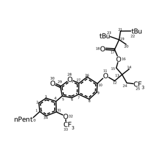 CCCCCc1ccc(-c2cc3ccc(OCC(C)(COC(=O)C(C)(CC(C)(C)C)C(C)(C)C)CC(F)(F)F)cc3oc2=O)c(OC(F)(F)F)c1